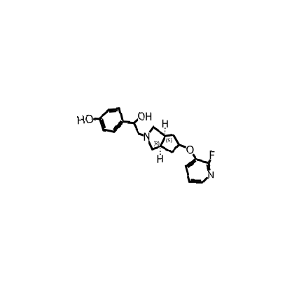 Oc1ccc(C(O)CN2C[C@H]3CC(Oc4cccnc4F)C[C@H]3C2)cc1